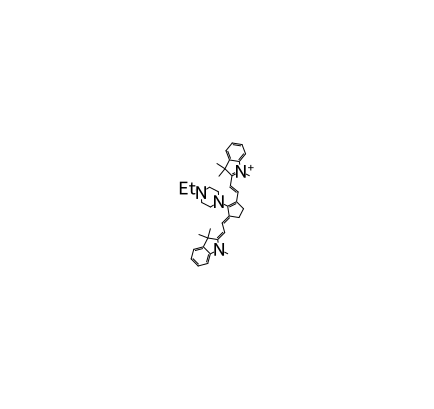 CCN1CCN(C2=C(/C=C/C3=[N+](C)c4ccccc4C3(C)C)CC/C2=C\C=C2\N(C)c3ccccc3C2(C)C)CC1